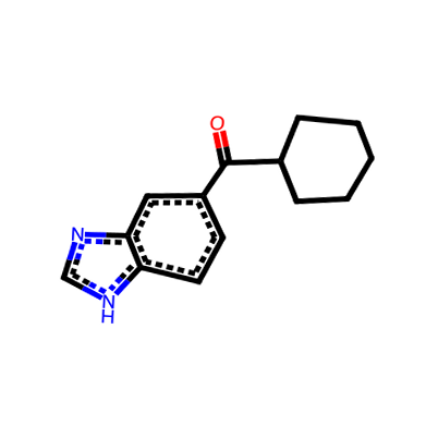 O=C(c1ccc2[nH]cnc2c1)C1CCCCC1